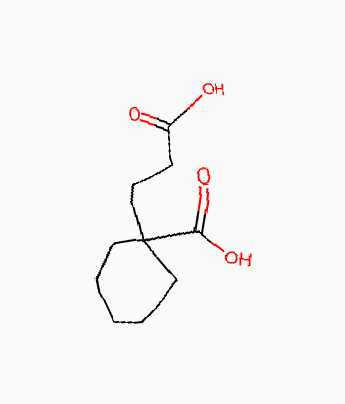 O=C(O)CCC1(C(=O)O)CCCCC1